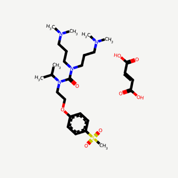 CC(C)N(CCOc1ccc(S(C)(=O)=O)cc1)C(=O)N(CCCN(C)C)CCCN(C)C.O=C(O)C=CC(=O)O